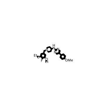 CCOc1cc(CN2CCC(Nc3ncc(-c4ccc(OC)cc4)cn3)CC2)cc(OCC)c1F